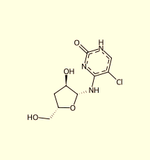 O=c1nc(N[C@@H]2O[C@H](CO)C[C@H]2O)c(Cl)c[nH]1